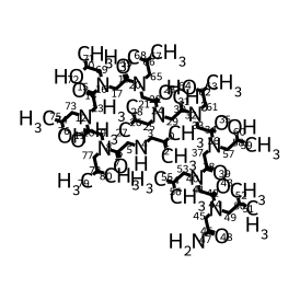 CC(C)CNCC(=O)N(CC(=O)N(CC(=O)N(CC(=O)N(CC(=O)N(CC(C)C)CC(C)N(CC(=O)N(CC(=O)N(CC(=O)N(CC(N)=O)CC(C)C)CC(C)C)CC(C)O)CC(C)O)CC(C)C)CC(C)O)CC(C)O)CC(C)C